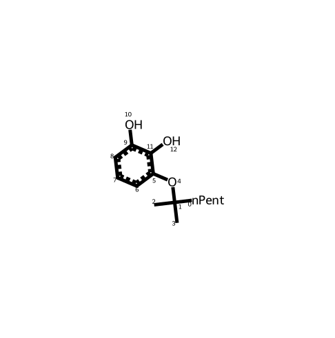 CCCCCC(C)(C)Oc1cccc(O)c1O